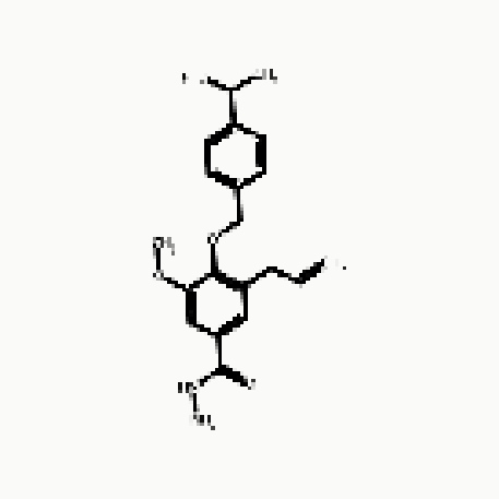 C=CCc1cc(C(=O)NN)cc(OC)c1OCc1ccc(C(C)C)cc1